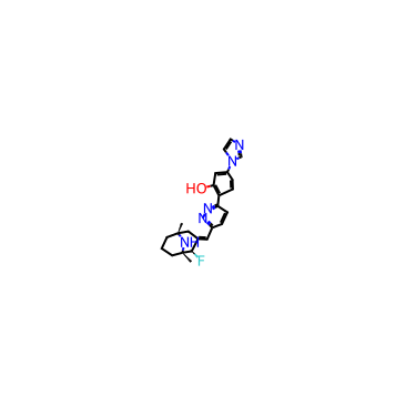 C[C@]12CCC[C@](C)(N1)[C@H](F)/C(=C/c1ccc(-c3ccc(-n4ccnc4)cc3O)nn1)C2